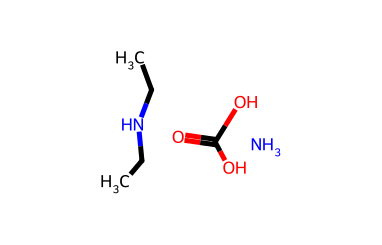 CCNCC.N.O=C(O)O